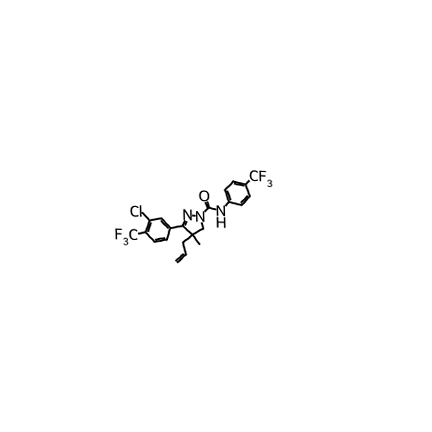 C=CCC1(C)CN(C(=O)Nc2ccc(C(F)(F)F)cc2)N=C1c1ccc(C(F)(F)F)c(Cl)c1